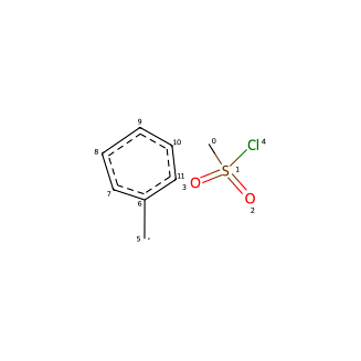 CS(=O)(=O)Cl.[CH2]c1ccccc1